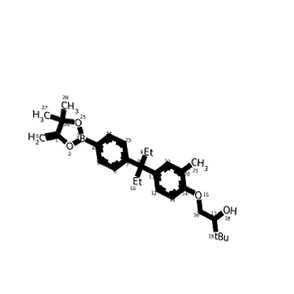 C=C1OB(c2ccc(C(CC)(CC)c3ccc(OCC(O)C(C)(C)C)c(C)c3)cc2)OC1(C)C